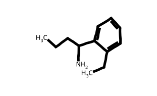 CCCC(N)c1ccccc1CC